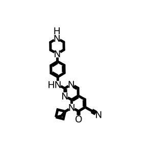 N#Cc1cc2cnc(Nc3ccc(N4CCNCC4)cc3)nc2n(C23CC(C2)C3)c1=O